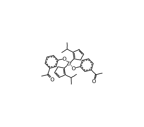 CC(=O)c1cccc([O][Zr]([O]c2cccc(C(C)=O)c2)([C]2=C(C(C)C)C=CC2)[C]2=C(C(C)C)C=CC2)c1